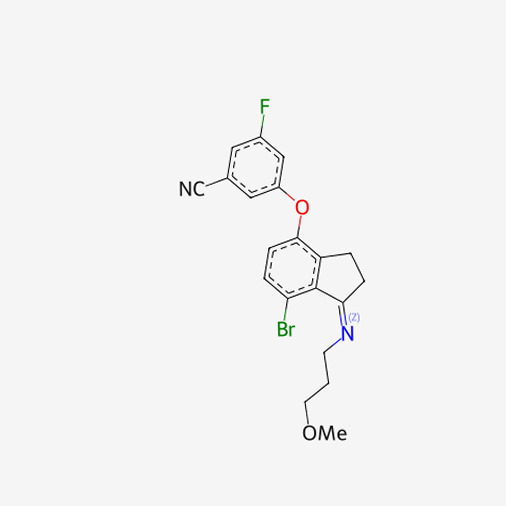 COCCC/N=C1/CCc2c(Oc3cc(F)cc(C#N)c3)ccc(Br)c21